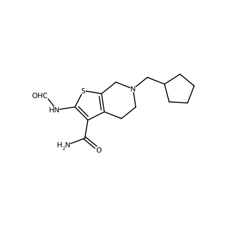 NC(=O)c1c(NC=O)sc2c1CCN(CC1CCCC1)C2